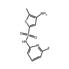 Cc1sc(S(=O)(=O)Nc2cccc(F)n2)cc1N